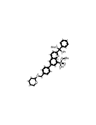 CCCC(OC)(c1ccccc1)c1ccc2cc(-c3ccc(COC4CCCCO4)cc3)cc(P(=O)(O)OC(C)CC)c2n1